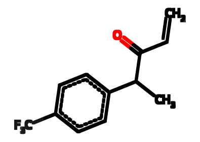 C=CC(=O)C(C)c1ccc(C(F)(F)F)cc1